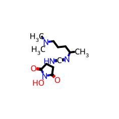 CC(CCCN(C)C)N=C=N.O=C1CCC(=O)N1O